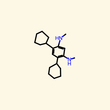 CNc1cc(NC)c(C2CCCCC2)cc1C1CCCCC1